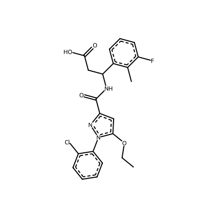 CCOc1cc(C(=O)NC(CC(=O)O)c2cccc(F)c2C)nn1-c1ccccc1Cl